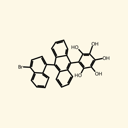 Oc1c(O)c(O)c(-c2c3ccccc3c(-c3ccc(Br)c4ccccc34)c3ccccc23)c(O)c1O